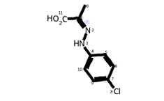 C/C(=N/Nc1ccc(Cl)cc1)C(=O)O